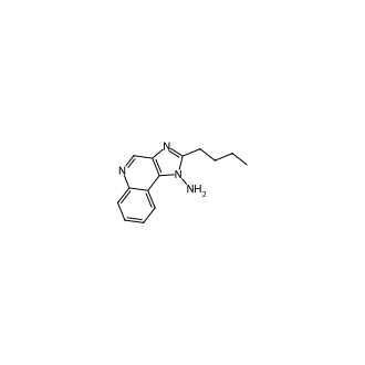 CCCCc1nc2cnc3ccccc3c2n1N